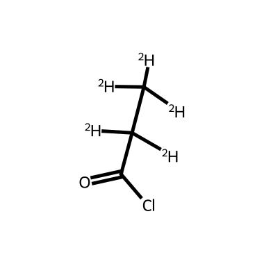 [2H]C([2H])([2H])C([2H])([2H])C(=O)Cl